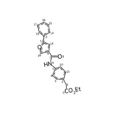 CCOC(=O)Cc1ccc(NC(=O)c2coc(-c3ccccc3)c2)cc1